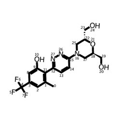 Cc1cc(C(F)(F)F)cc(O)c1-c1ccc(N2C[C@H](CO)O[C@@H](CO)C2)nn1